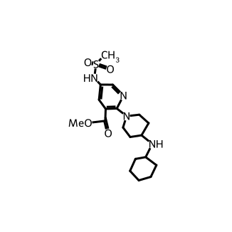 COC(=O)c1cc(NS(C)(=O)=O)cnc1N1CCC(NC2CCCCC2)CC1